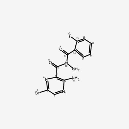 Nc1ncc(Br)nc1C(=O)N(N)C(=O)c1ccccc1F